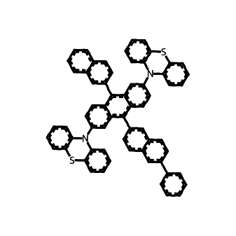 c1ccc(-c2ccc3cc(-c4c5ccc(N6c7ccccc7Sc7ccccc76)cc5c(-c5ccc6ccccc6c5)c5ccc(N6c7ccccc7Sc7ccccc76)cc45)ccc3c2)cc1